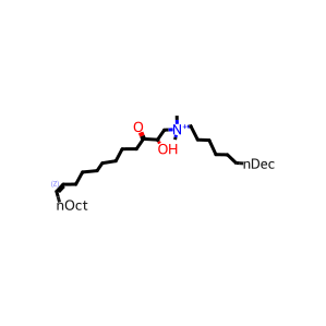 CCCCCCCC/C=C\CCCCCCCC(=O)C(O)C[N+](C)(C)CCCCCCCCCCCCCCCC